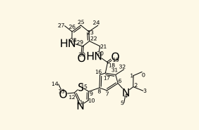 CCC(C)N(C)c1cc(-c2cnc(OC)s2)cc(C(=O)NCc2c(C)cc(C)[nH]c2=O)c1C